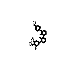 COc1cc(-c2cccc(-c3cccc(-c4ccc(C=O)cc4)c3C)c2C)cc(F)c1C=O